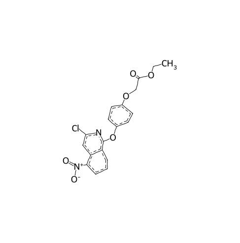 CCOC(=O)COc1ccc(Oc2nc(Cl)cc3c([N+](=O)[O-])cccc23)cc1